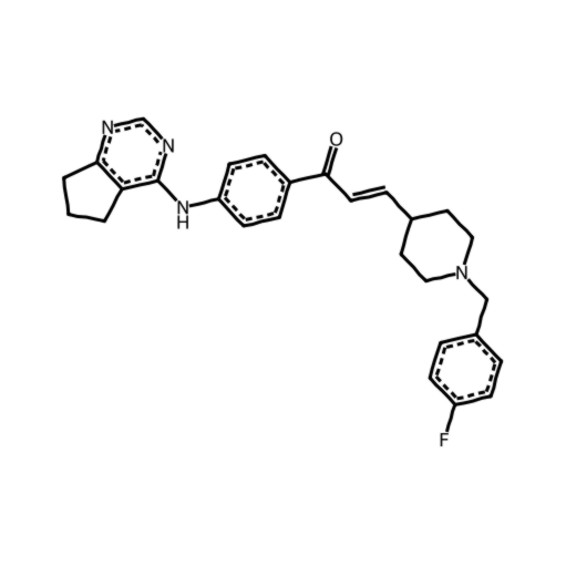 O=C(/C=C/C1CCN(Cc2ccc(F)cc2)CC1)c1ccc(Nc2ncnc3c2CCC3)cc1